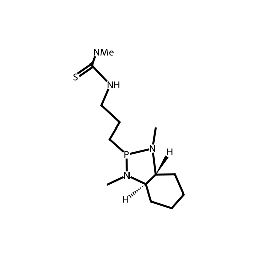 CNC(=S)NCCCP1N(C)[C@@H]2CCCC[C@H]2N1C